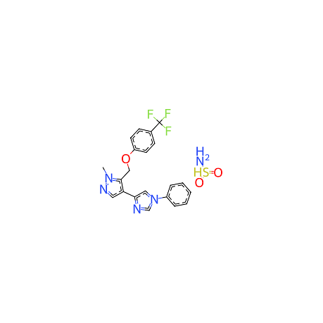 Cn1ncc(-c2cn(-c3ccccc3)cn2)c1COc1ccc(C(F)(F)F)cc1.N[SH](=O)=O